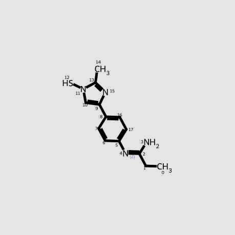 CC/C(N)=N/c1ccc(-c2cn(S)c(C)n2)cc1